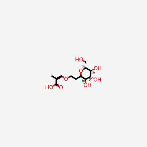 CC(=COCCC1O[C@H](CO)[C@@H](O)[C@H](O)[C@H]1O)C(=O)O